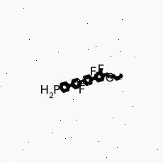 C/C=C\COCc1ccc(-c2ccc(-c3ccc(C4=CCC(P)CC4)cc3F)cc2)c(F)c1F